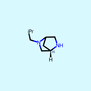 CC(C)CN1C[C@@H]2CC1CN2